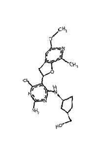 COc1cc2c(c(C)n1)OC(c1c(Cl)nc(N)nc1N[C@H]1CC[C@@H](CO)C1)C2